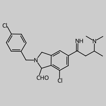 CC(CC(=N)c1cc(Cl)c2c(c1)CN(Cc1ccc(Cl)cc1)C2C=O)N(C)C